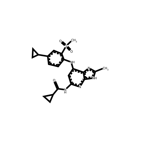 Cc1nc2c(Nc3ccc(C4CC4)cc3S(C)(=O)=O)cc(NC(=O)C3CC3)nc2[nH]1